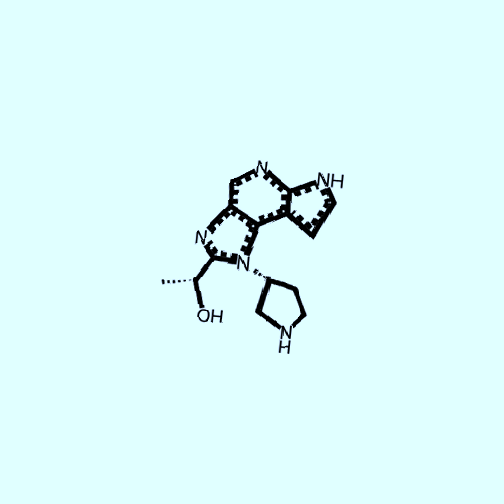 C[C@@H](O)c1nc2cnc3[nH]ccc3c2n1[C@@H]1CCNC1